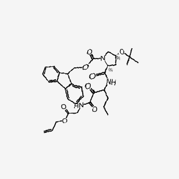 C=CCOC(=O)CNC(=O)C(=O)C(CCC)NC(=O)[C@@H]1C[C@@H](OC(C)(C)C)CN1C(=O)OCC1c2ccccc2-c2ccccc21